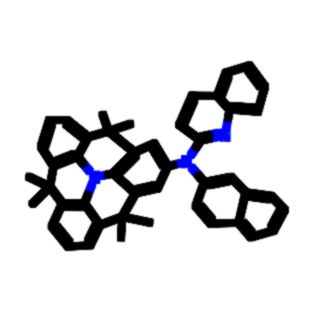 CC1(C)c2cccc3c2N2c4c1cccc4C(C)(C)c1cc(N(c4ccc5ccccc5c4)c4ccc5ccccc5n4)cc(c12)C3(C)C